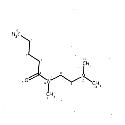 CCCCC(=O)N(C)CCN(C)C